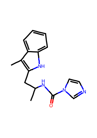 Cc1c(CC(C)NC(=O)n2ccnc2)[nH]c2ccccc12